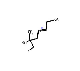 OC(CF)(C/C=C/CS)C(F)(F)F